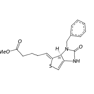 COC(=O)CCCC=C1SC=C2NC(=O)N(Cc3ccccc3)[C@@H]21